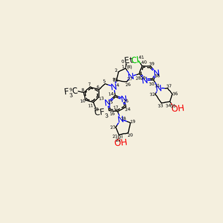 CC[C@@H]1C[C@H](N(Cc2cc(C(F)(F)F)cc(C(F)(F)F)c2)c2ncc(N3CC[C@H](O)C3)cn2)CN1c1nc(N2CCC(O)CC2)ncc1Cl